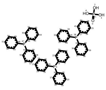 O=P(O)(O)O.c1ccc(P(c2ccccc2)c2ccccc2)cc1.c1ccc(P(c2ccccc2)c2ccccc2)cc1.c1ccc(P(c2ccccc2)c2ccccc2)cc1